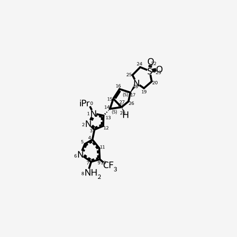 CC(C)n1nc(-c2cnc(N)c(C(F)(F)F)c2)cc1[C@@H]1C2=C[C@@H](N3CCS(=O)(=O)CC3)C[C@H]21